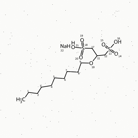 CCCCCCCCCCOC(CS(=O)(=O)O)CS(=O)(=O)O.[NaH]